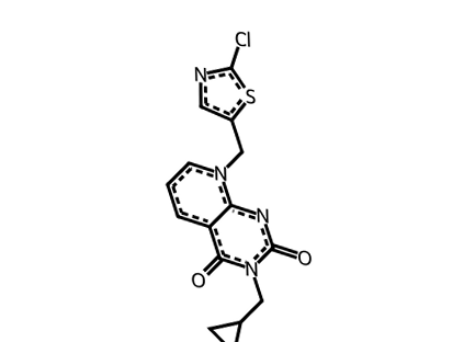 O=c1nc2n(Cc3cnc(Cl)s3)cccc-2c(=O)n1CC1CC1